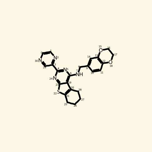 c1cnc(-c2nc(NCc3ccc4c(c3)OCCO4)c3c4c(sc3n2)CCCC4)cn1